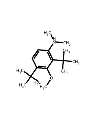 COc1c(C(C)(C)C)ccc([SiH](C)C)c1C(C)(C)C